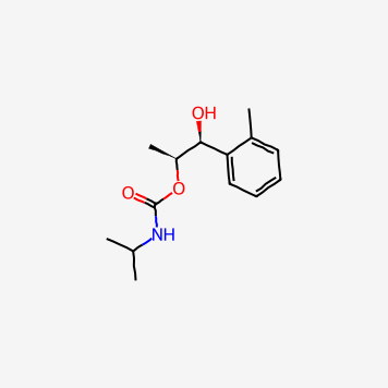 Cc1ccccc1[C@H](O)[C@H](C)OC(=O)NC(C)C